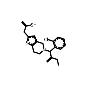 C=C(S)Cc1cc2c(s1)CCN(C(C(=C)CC)c1ccccc1Cl)C2